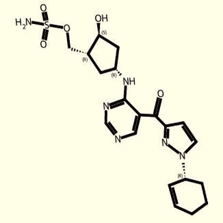 NS(=O)(=O)OC[C@H]1C[C@@H](Nc2ncncc2C(=O)c2ccn([C@H]3C=CCCC3)n2)C[C@@H]1O